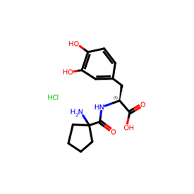 Cl.NC1(C(=O)N[C@@H](Cc2ccc(O)c(O)c2)C(=O)O)CCCC1